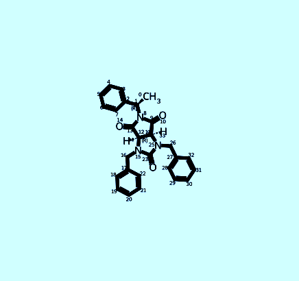 C[C@H](c1ccccc1)N1C(=O)[C@@H]2[C@H](C1=O)N(Cc1ccccc1)C(=O)N2Cc1ccccc1